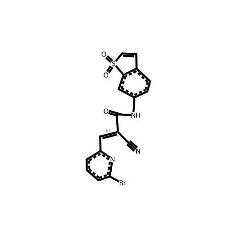 N#C/C(=C\c1cccc(Br)n1)C(=O)Nc1ccc2c(c1)S(=O)(=O)C=C2